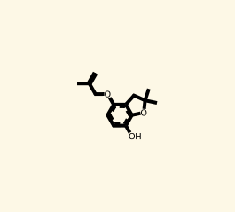 C=C(C)COc1ccc(O)c2c1CC(C)(C)O2